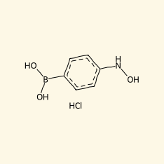 Cl.ONc1ccc(B(O)O)cc1